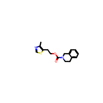 Cc1ncsc1CCOC(=O)N1CCc2ccccc2C1